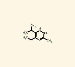 CCC1=C(C(C)C)NNC(C)=N1